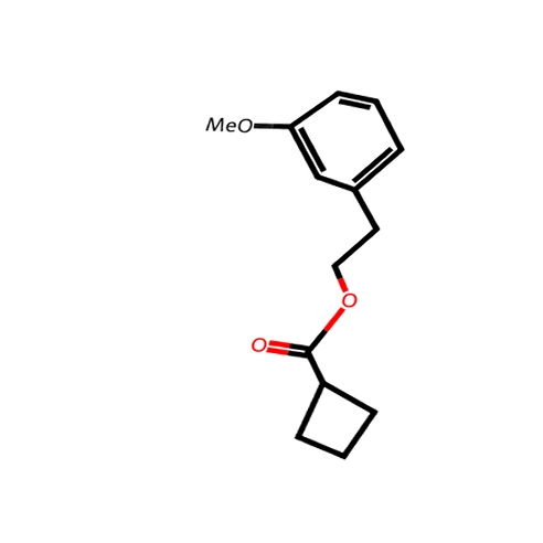 COc1cccc(CCOC(=O)C2CCC2)c1